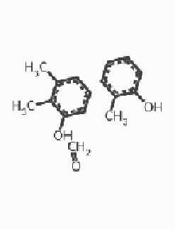 C=O.Cc1cccc(O)c1C.Cc1ccccc1O